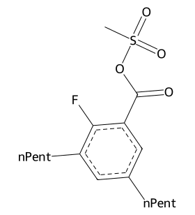 CCCCCc1cc(CCCCC)c(F)c(C(=O)OS(C)(=O)=O)c1